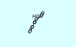 OC(COc1ccc(-c2ccc(N3CCCCC3)cc2)cc1)CN1CCOCC1